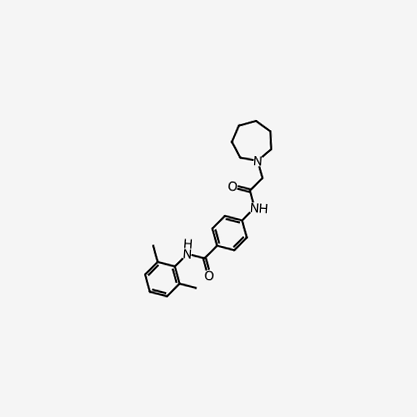 Cc1cccc(C)c1NC(=O)c1ccc(NC(=O)CN2CCCCCC2)cc1